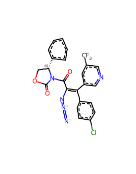 [N-]=[N+]=NC(C(=O)N1C(=O)OC[C@@H]1c1ccccc1)=C(c1ccc(Cl)cc1)c1cncc(C(F)(F)F)c1